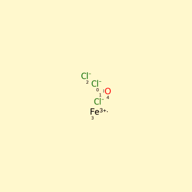 [Cl-].[Cl-].[Cl-].[Fe+3].[O]